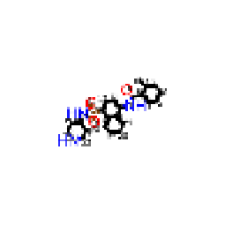 Cc1ccccc1C(=O)Nc1ccc(S(=O)(=O)N[C@@H]2CCNC[C@H]2C)c2ccccc12